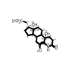 CCOC(=O)C[C@H]1CCC2C3CC(Cl)=C4NC(=O)CC[C@]4(C)C3CC[C@@]21C